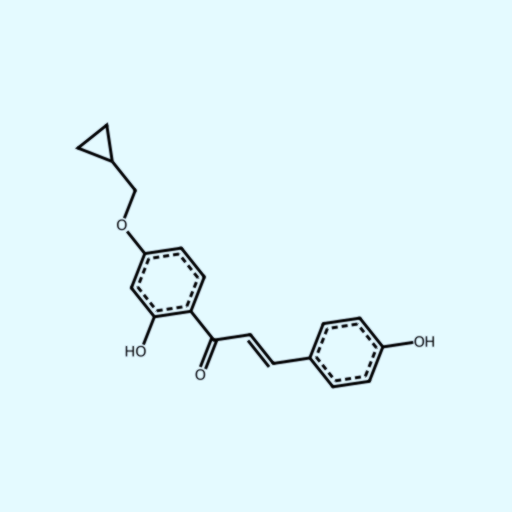 O=C(C=Cc1ccc(O)cc1)c1ccc(OCC2CC2)cc1O